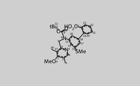 COc1c(C)cnc(CN(C(=O)OC(C)(C)C)c2cc(SC)cc(-c3ccccc3C(=O)O)c2)c1C